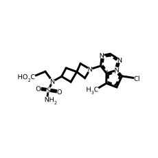 Cc1cc(Cl)n2ncnc(N3CC4(CC(N(CC(=O)O)S(N)(=O)=O)C4)C3)c12